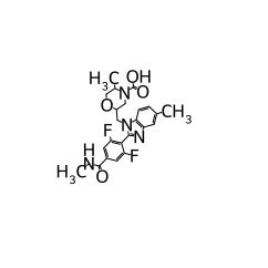 CNC(=O)c1cc(F)c(-c2nc3cc(C)ccc3n2CC2CN(C(=O)O)C(C)CO2)c(F)c1